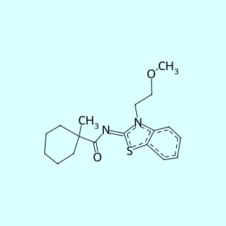 COCCn1/c(=N/C(=O)C2(C)CCCCC2)sc2ccccc21